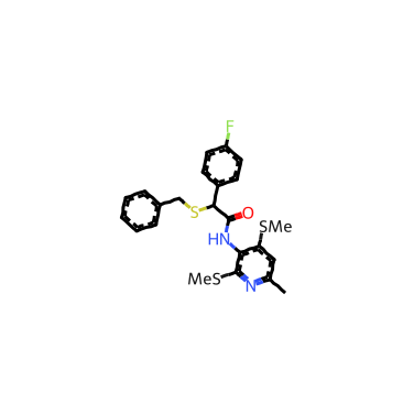 CSc1cc(C)nc(SC)c1NC(=O)C(SCc1ccccc1)c1ccc(F)cc1